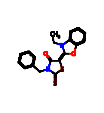 CCN1C(=C2SC(=S)N(Cc3ccccc3)C2=O)Oc2ccccc21